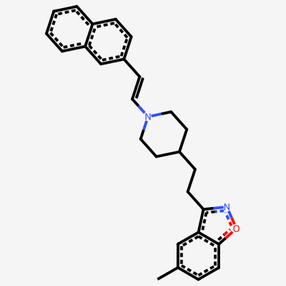 Cc1ccc2onc(CCC3CCN(C=Cc4ccc5ccccc5c4)CC3)c2c1